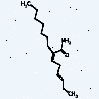 CCC=CCC=C(CCCCCCC)C(N)=O